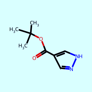 CC(C)(C)OC(=O)c1[c]n[nH]c1